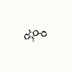 C=C1c2ccccc2C(=O)c2cc(-c3ccccc3)ccc21